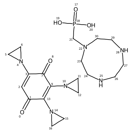 O=C1C=C(N2CC2)C(=O)C(N2CC2)=C1N1CC1.O=P(O)(O)CN1CCNCCNCC1